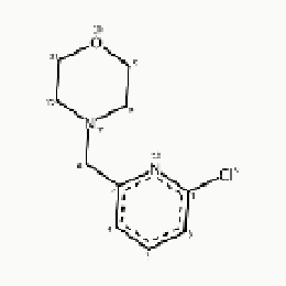 Clc1[c]ccc(CN2CCOCC2)n1